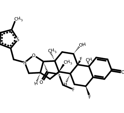 Cc1ccc(CN2C[C@@H]3C[C@@]4(C)[C@@H]5C[C@H](F)C6=CC(=O)C=C[C@]6(C)[C@@]5(F)[C@@H](O)C[C@]4(C)[C@]3(C(=O)SCF)O2)s1